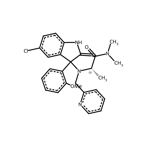 COc1ccccc1C1(N(Cc2ccccn2)[C@@H](C)C(=O)N(C)C)C(=O)Nc2ccc(Cl)cc21